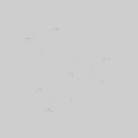 COc1cc2c(=O)n(CC(=O)OC(C)(C)C)c3c4cc[nH]c4ncc3c2cc1OC